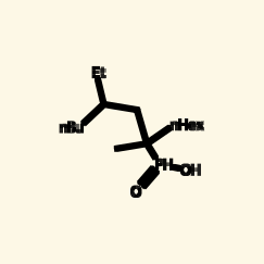 CCCCCCC(C)(CC(CC)CCCC)[PH](=O)O